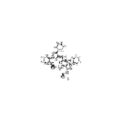 CCOc1nn(-c2ccccc2)c(NC(=O)N[C@@H]2CN(c3cccnc3OC)C[C@H]2c2ccccc2)c1C